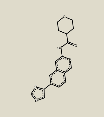 O=C(Nc1cc2cc(-c3cnco3)ccc2cn1)C1CCOCC1